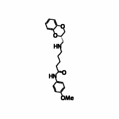 COc1ccc(NC(=O)CCCCNC[C@H]2COc3ccccc3O2)cc1